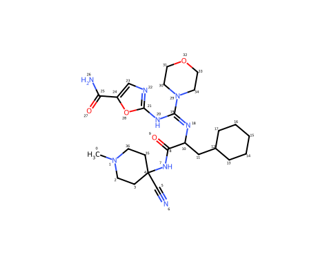 CN1CCC(C#N)(NC(=O)C(CC2CCCCC2)/N=C(\Nc2ncc(C(N)=O)o2)N2CCOCC2)CC1